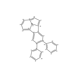 c1ccc(-c2cc3c(cc2-c2ccccc2)c2ccc4cccc3n42)cc1